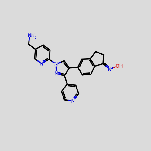 NCc1ccc(-n2cc(-c3ccc4c(c3)CCC4=NO)c(-c3ccncc3)n2)nc1